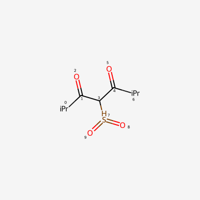 CC(C)C(=O)C(C(=O)C(C)C)[SH](=O)=O